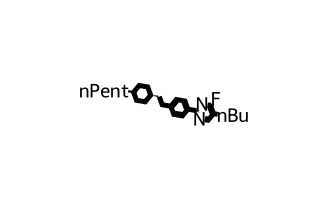 CCCCC[C@H]1CC[C@H](CCc2ccc(-c3ncc(CCCC)c(F)n3)cc2)CC1